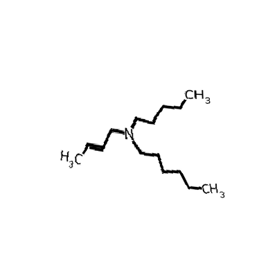 CC=CCN(CCCCC)CCCCCC